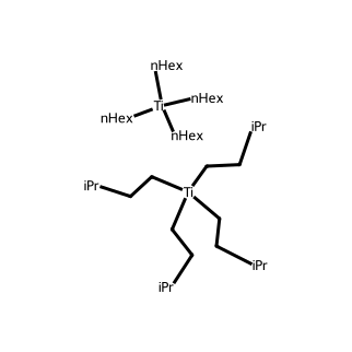 CC(C)C[CH2][Ti]([CH2]CC(C)C)([CH2]CC(C)C)[CH2]CC(C)C.CCCCC[CH2][Ti]([CH2]CCCCC)([CH2]CCCCC)[CH2]CCCCC